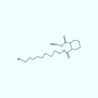 CCCCCCCCCOC(=O)C1CCCCC1C(=O)OCCCCCCCCCC(C)C